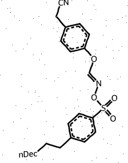 CCCCCCCCCCCCc1ccc(S(=O)(=O)ON=COc2ccc(CC#N)cc2)cc1